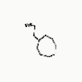 CSCCC1CCCCCCC1